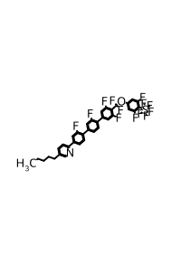 CCCCCc1ccc(-c2ccc(-c3ccc(-c4cc(F)c(C(F)(F)Oc5cc(F)c(S(F)(F)(F)(F)F)c(F)c5)c(F)c4)c(F)c3)c(F)c2)nc1